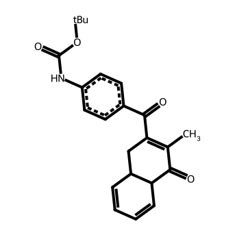 CC1=C(C(=O)c2ccc(NC(=O)OC(C)(C)C)cc2)CC2C=CC=CC2C1=O